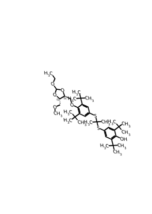 CCOC1O[C@@H](COC)[C@H](COc2c(C(C)(C)C)cc(SC(C)(C)Sc3cc(C(C)(C)C)c(O)c(C(C)(C)C)c3)cc2C(C)(C)C)O1